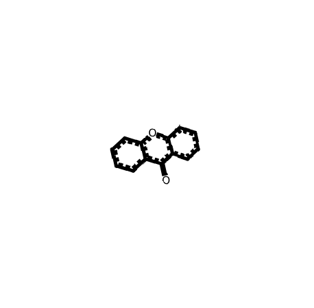 O=c1c2ccc[c]c2oc2ccccc12